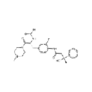 CCC(=O)N[C@H](Cc1ccc(NC(=O)C[C@@](C)(O)c2ccccc2)c(F)c1)C(=O)N1CCN(C)CC1